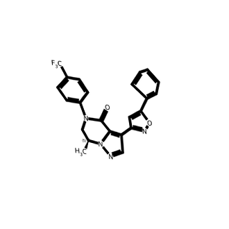 C[C@H]1CN(c2ccc(C(F)(F)F)cc2)C(=O)c2c(-c3cc(-c4ccccc4)on3)cnn21